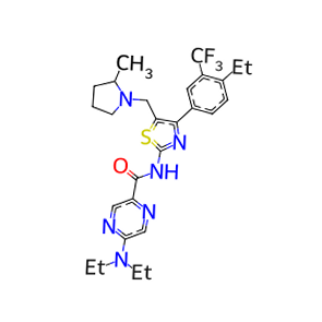 CCc1ccc(-c2nc(NC(=O)c3cnc(N(CC)CC)cn3)sc2CN2CCCC2C)cc1C(F)(F)F